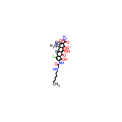 B=C1C(C(N)=O)=C(O)[C@@H](N(C)C)[C@@H]2C[C@@H]3Cc4c(F)cc(NC(=O)CNCCCCCCC)c(O)c4C(=O)C3=C(O)[C@]12O